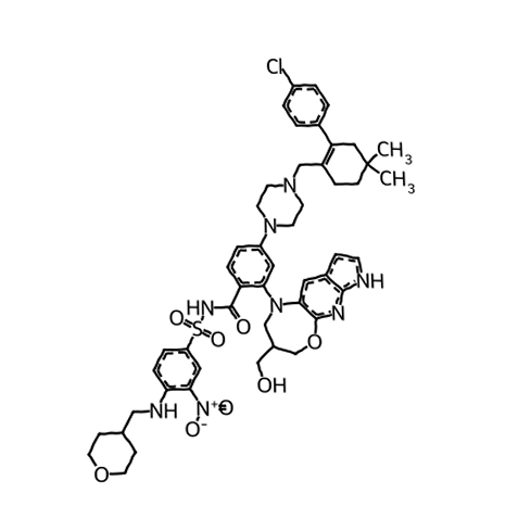 CC1(C)CCC(CN2CCN(c3ccc(C(=O)NS(=O)(=O)c4ccc(NCC5CCOCC5)c([N+](=O)[O-])c4)c(N4CC(CO)COc5nc6[nH]ccc6cc54)c3)CC2)=C(c2ccc(Cl)cc2)C1